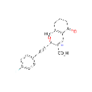 CC1=C(/C=C(/C(=O)O)C(=O)C#Cc2ccc(F)cc2)C(=O)CCC1